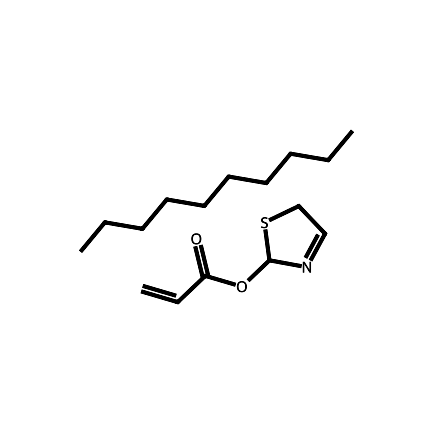 C=CC(=O)OC1N=CCS1.CCCCCCCCCC